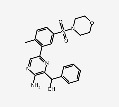 Cc1ccc(S(=O)(=O)N2CCOCC2)cc1-c1cnc(N)c(C(O)c2ccccc2)n1